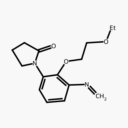 C=Nc1cccc(N2CCCC2=O)c1OCCOCC